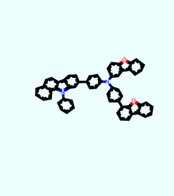 c1ccc(-n2c3cc(-c4ccc(N(c5ccc(-c6cccc7c6oc6ccccc67)cc5)c5ccc6oc7ccccc7c6c5)cc4)ccc3c3ccc4ccccc4c32)cc1